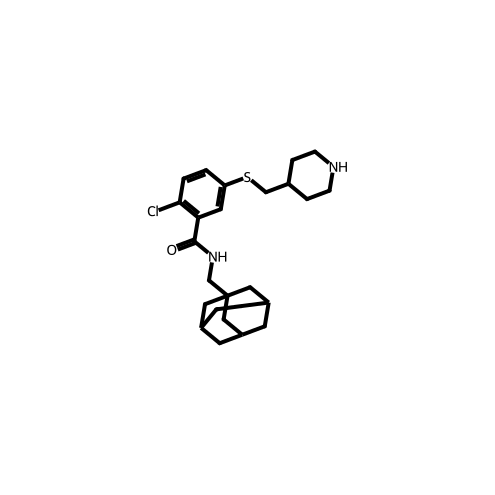 O=C(NCC12CC3CC(CC(C3)C1)C2)c1cc(SCC2CCNCC2)ccc1Cl